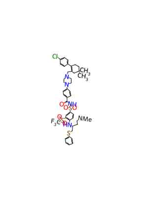 CNCCC(CSc1ccccc1)Nc1ccc(S(=O)(=O)NC(=O)c2ccc(N3CCN(CC4=C(c5ccc(Cl)cc5)CCC(C)(C)C4)CC3)cc2)cc1S(=O)(=O)C(F)(F)F